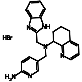 Br.Nc1ccc(CN(Cc2nc3ccccc3[nH]2)C2CCCc3cccnc32)cn1